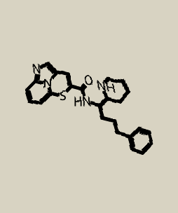 O=C(NC(CCCc1ccccc1)C1CCCCN1)C1=Cc2cnc3cccc(n23)S1